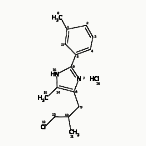 Cc1cccc(-c2nc(CC(C)CCl)c(C)[nH]2)c1.Cl